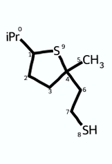 CC(C)C1CCC(C)(CCS)S1